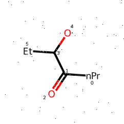 CCCC(=O)C([O])CC